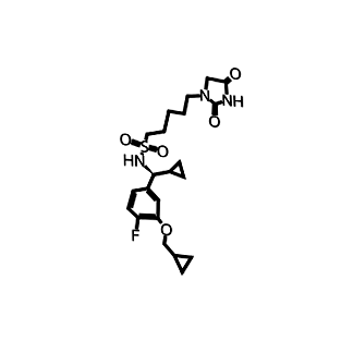 O=C1CN(CCCCCS(=O)(=O)N[C@H](c2ccc(F)c(OCC3CC3)c2)C2CC2)C(=O)N1